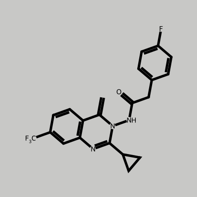 C=C1c2ccc(C(F)(F)F)cc2N=C(C2CC2)N1NC(=O)Cc1ccc(F)cc1